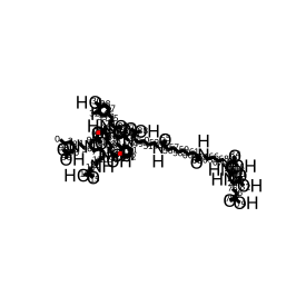 CCCN(CCN(CCN(CCNCC(=O)O)C(CCCC(=O)NC(Cc1ccc(O)c(I)c1)C(=O)N[C@H](Cc1ccccc1)C(=O)NC(CCCCNC(=O)CCCCCCC(=O)NCCCC[C@H](NC(=O)N[C@@H](CCC(=O)O)C(=O)O)C(=O)O)C(=O)O)C(=O)O)CC(=O)O)CC(=O)O